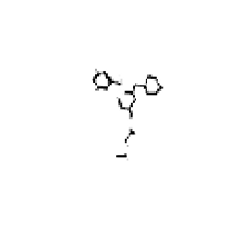 C[C@@H](NCC(=O)OCC1CCN(C(=O)c2cc(C(F)(F)F)cc(C(F)(F)F)c2)C(Cc2ccccc2)C1)C(=O)O